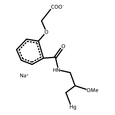 COC([CH2][Hg])CNC(=O)c1ccccc1OCC(=O)[O-].[Na+]